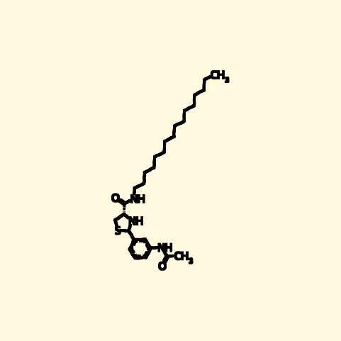 CCCCCCCCCCCCCCCCNC(=O)[C@H]1CSC(c2cccc(NC(C)=O)c2)N1